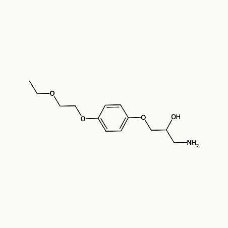 CCOCCOc1ccc(OCC(O)CN)cc1